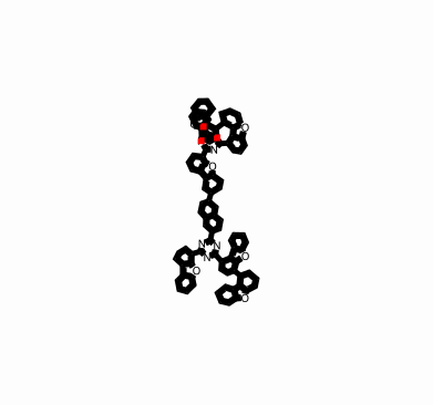 c1ccc(-c2nc(-c3cccc4c3oc3ccc(-c5ccc6cc(-c7nc(-c8cccc9c8oc8ccccc89)nc(-c8ccc(-c9cccc%10oc%11ccccc%11c9%10)c9oc%10ccccc%10c89)n7)ccc6c5)cc34)nc(-c3cccc4oc5cccc(-c6cccc7oc8ccccc8c67)c5c34)n2)cc1